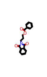 O=C(OCCCN1C(=O)c2ccccc2C1=O)c1ccccc1